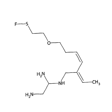 C/C=C(\C=C/CCOCCSF)CNC(N)CN